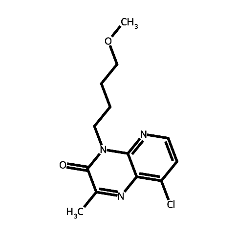 COCCCCn1c(=O)c(C)nc2c(Cl)ccnc21